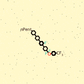 CCCCCC1CCC(C2CCC(c3ccc(C4CCC(C(F)(F)Oc5ccc(C(F)(F)F)cc5)CC4)c(F)c3)CC2)CC1